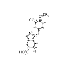 O=C(O)c1cc2cnn(Cc3ccc(OC(F)(F)F)c(Cl)c3)c2cc1F